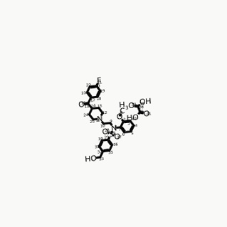 COc1ccccc1N(CCN1CCC(C(=O)c2ccc(F)cc2)CC1)S(=O)(=O)c1ccc(CO)cc1.O=C(O)C(=O)O